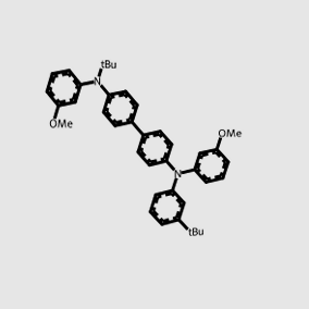 COc1cccc(N(c2ccc(-c3ccc(N(c4cccc(OC)c4)C(C)(C)C)cc3)cc2)c2cccc(C(C)(C)C)c2)c1